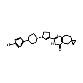 O=c1[nH]c(C2=C[C@H](N3CCC(c4ccc(Cl)cc4)CC3)CC2)nc2c1CC1(CC2)CC1